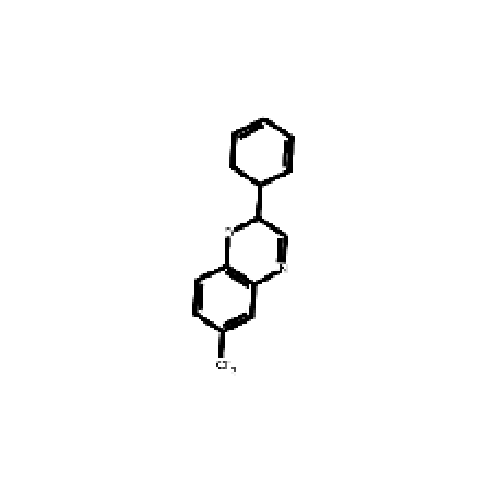 FC(F)(F)c1ccc2c(c1)N=CC(C1C=CC=CC1)O2